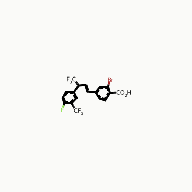 O=C(O)c1ccc(/C=C/C(c2ccc(F)c(C(F)(F)F)c2)C(F)(F)F)cc1Br